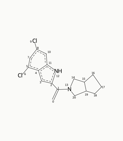 C=C(c1cc2c(Cl)cc(Cl)cc2[nH]1)N1CC2CCCC2C1